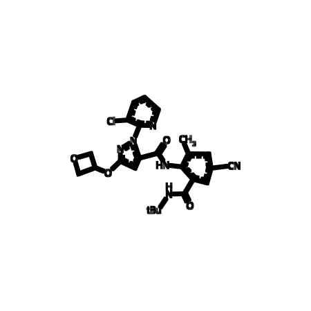 Cc1cc(C#N)cc(C(=O)NC(C)(C)C)c1NC(=O)c1cc(OC2COC2)nn1-c1ncccc1Cl